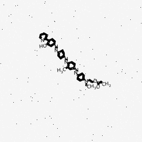 C=CC(=O)OCCN(CC)c1ccc(/N=N/c2ccc(/N=N/c3ccc(/N=N/c4ccc(-c5ccccn5)c(O)c4)cc3)c(C)c2)cc1